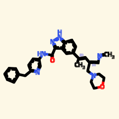 C=N/C=C(\C=C(/C)c1ccc2[nH]nc(C(=O)Nc3ccc(Cc4ccccc4)nc3)c2c1)CN1CCOCC1